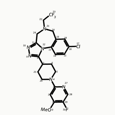 COc1cc(N2CCC(c3nnc4n3-c3ccc(Cl)cc3CN(CC(F)(F)F)C4)CC2)ncc1F